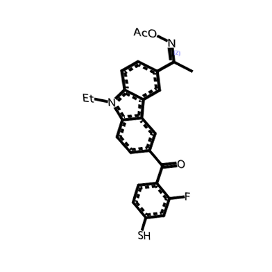 CCn1c2ccc(C(=O)c3ccc(S)cc3F)cc2c2cc(/C(C)=N\OC(C)=O)ccc21